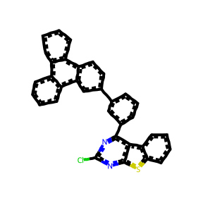 Clc1nc(-c2cccc(-c3ccc4c5ccccc5c5ccccc5c4c3)c2)c2c(n1)sc1ccccc12